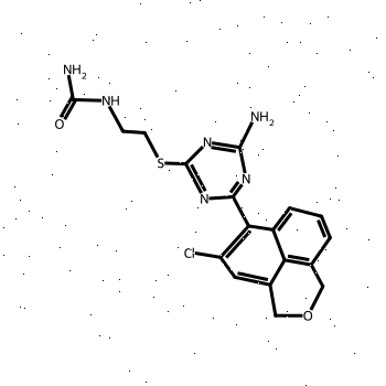 NC(=O)NCCSc1nc(N)nc(-c2c(Cl)cc3c4c(cccc24)COC3)n1